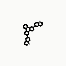 c1cnc2ccc(-c3ccc4c(c3)c3ccccc3c3ccc(-c5ccc6ncccc6c5)cc34)cc2c1